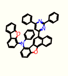 c1ccc(-c2cc(-c3cc4c(oc5cccc(N(c6ccccc6)c6cccc7c6oc6ccccc67)c54)c4ccccc34)nc(-c3ccccc3)n2)cc1